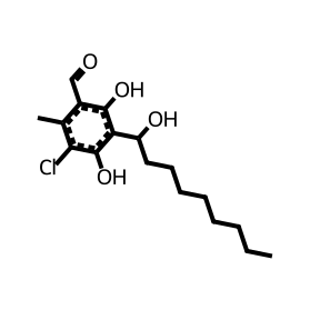 CCCCCCCCC(O)c1c(O)c(Cl)c(C)c(C=O)c1O